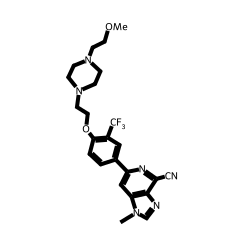 COCCN1CCN(CCOc2ccc(-c3cc4c(ncn4C)c(C#N)n3)cc2C(F)(F)F)CC1